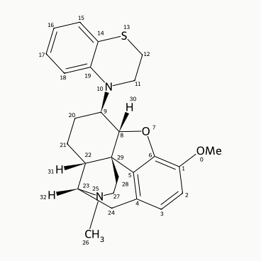 COc1ccc2c3c1O[C@H]1[C@H](N4CCSc5ccccc54)CC[C@H]4[C@@H](C2)N(C)CC[C@@]341